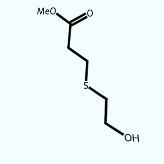 COC(=O)CCSCCO